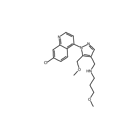 COCCCNCc1cnn(-c2ccnc3cc(Cl)ccc23)c1COC